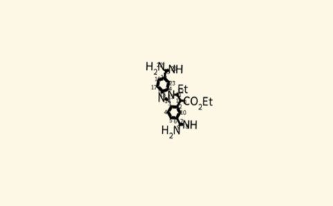 CCOC(=O)C(c1cccc(C(=N)N)c1)C(CC)n1cnc2ccc(C(=N)N)cc21